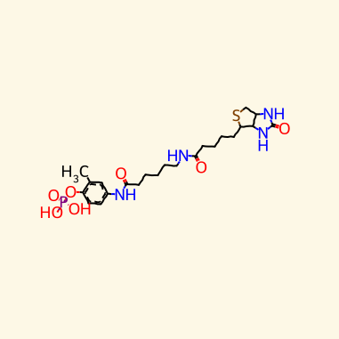 Cc1cc(NC(=O)CCCCCNC(=O)CCCCC2SCC3NC(=O)NC32)ccc1OP(=O)(O)O